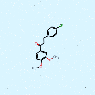 COc1ccc(C(=O)CCc2ccc(F)cc2)cc1OC